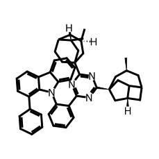 C[C@@H]1CC2CCC(c3nc(-c4ccccc4-n4c5ccccc5c5cccc(-c6ccccc6)c54)nc([C@]45CC6C(C[C@H](C)C4)C[C@@H]6C5)n3)(C1)C[C@H]2C